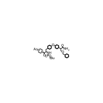 CC(=O)N1CCN(C(=O)C(Cc2ccc(Oc3ccc(C(COCc4ccccc4)C(N)=O)cc3)cc2)NC(=O)OC(C)(C)C)CC1